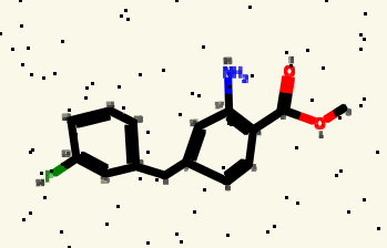 COC(=O)c1ccc(Cc2cccc(F)c2)cc1N